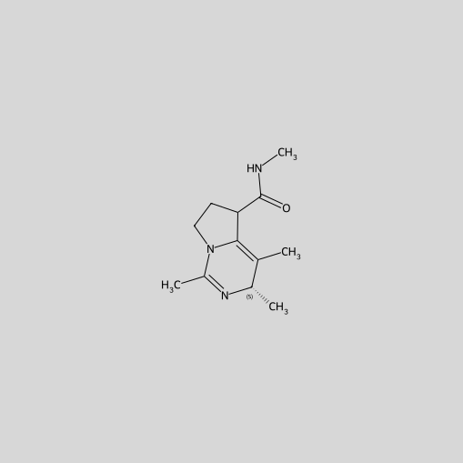 CNC(=O)C1CCN2C(C)=N[C@@H](C)C(C)=C12